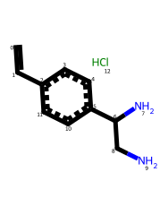 C=Cc1ccc(C(N)CN)cc1.Cl